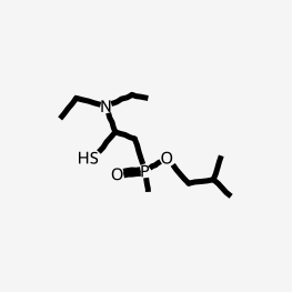 CCN(CC)C(S)CP(C)(=O)OCC(C)C